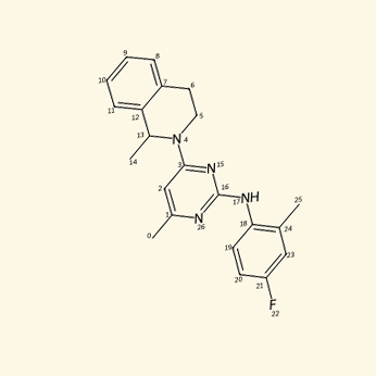 Cc1cc(N2CCc3ccccc3C2C)nc(Nc2ccc(F)cc2C)n1